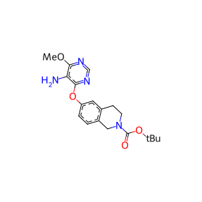 COc1ncnc(Oc2ccc3c(c2)CCN(C(=O)OC(C)(C)C)C3)c1N